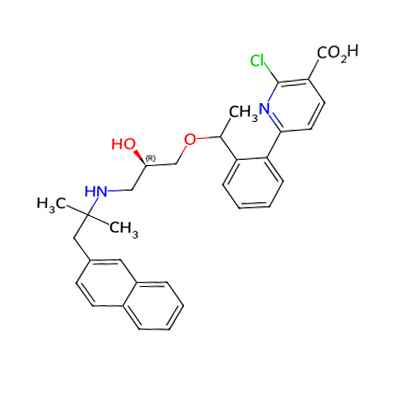 CC(OC[C@H](O)CNC(C)(C)Cc1ccc2ccccc2c1)c1ccccc1-c1ccc(C(=O)O)c(Cl)n1